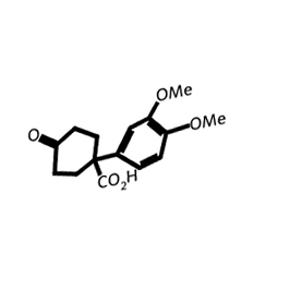 COc1ccc(C2(C(=O)O)CCC(=O)CC2)cc1OC